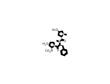 CC(=O)O[C@@H]1C[C@@H](C(=O)N(C)[C@@H](Cc2ccccc2)C(=O)N2CCC[C@H]2C(=O)O)N(C)C1.O